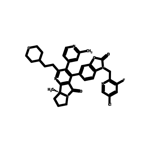 Cc1cc(-c2c(CCC3CCOCC3)nc3c(c2-c2ccc4c(c2)oc(=O)n4Cc2ncc(Cl)cc2F)C(=O)N2CCC[C@@]32C)ccn1